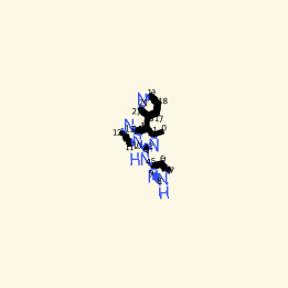 Cc1nc(Nc2cc[nH]n2)n2ccnc2c1-c1cccnc1